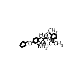 CC(C)c1cccc(C(C)C)c1NC(=O)[C@H](Cc1ccc(OCc2ccccc2)cc1)OC(N)=O